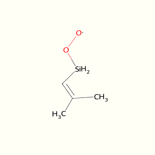 CC(C)=C[SiH2]O[O]